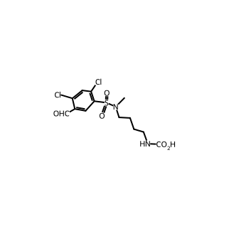 CN(CCCCNC(=O)O)S(=O)(=O)c1cc(C=O)c(Cl)cc1Cl